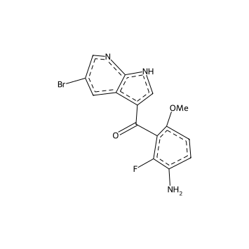 COc1ccc(N)c(F)c1C(=O)c1c[nH]c2ncc(Br)cc12